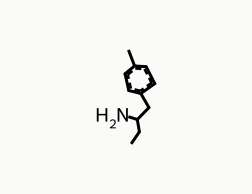 CCC(N)Cc1ccc(C)cc1